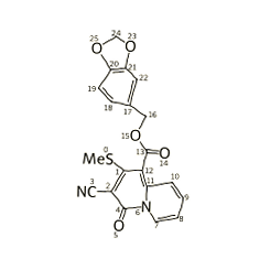 CSc1c(C#N)c(=O)n2ccccc2c1C(=O)OCc1ccc2c(c1)OCO2